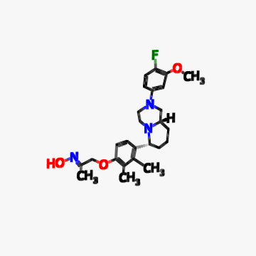 COc1cc(N2CCN3[C@@H](CCC[C@@H]3c3ccc(OC/C(C)=N/O)c(C)c3C)C2)ccc1F